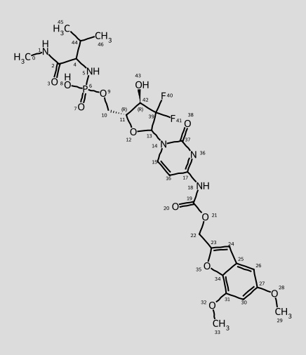 CNC(=O)C(NP(=O)(O)OC[C@H]1OC(n2ccc(NC(=O)OCc3cc4cc(OC)cc(OC)c4o3)nc2=O)C(F)(F)[C@@H]1O)C(C)C